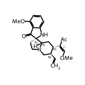 C=C[C@H]1CN2CC[C@]3(Nc4cccc(OC)c4C3=O)[C@@H]2C[C@@H]1/C(=C\OC)C(C)=O